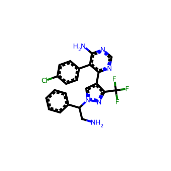 NCC(c1ccccc1)n1cc(-c2ncnc(N)c2-c2ccc(Cl)cc2)c(C(F)(F)F)n1